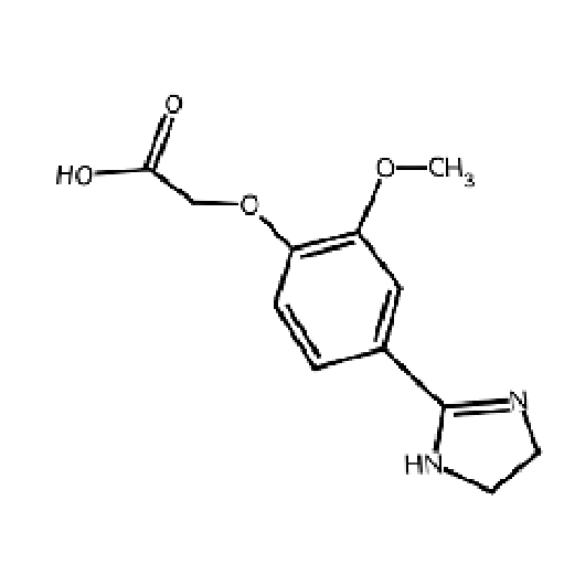 COc1cc(C2=NCCN2)ccc1OCC(=O)O